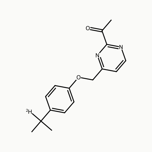 [2H]C(C)(C)c1ccc(OCc2ccnc(C(C)=O)n2)cc1